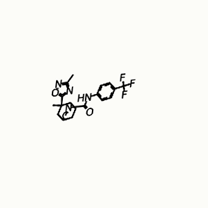 Cc1noc(C2(C)CC3CCC2N(C(=O)Nc2ccc(C(F)(F)F)cc2)C3)n1